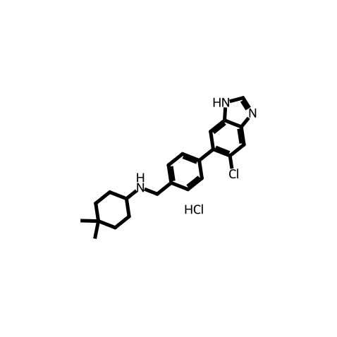 CC1(C)CCC(NCc2ccc(-c3cc4[nH]cnc4cc3Cl)cc2)CC1.Cl